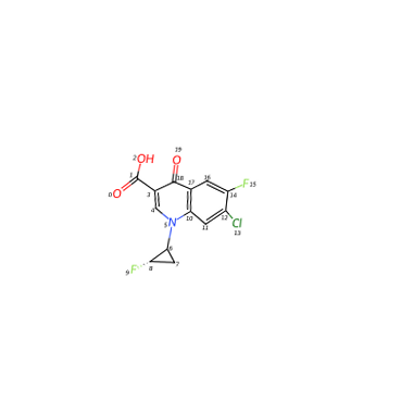 O=C(O)c1cn(C2C[C@@H]2F)c2cc(Cl)c(F)cc2c1=O